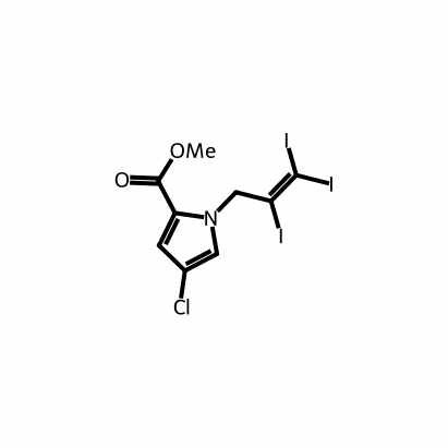 COC(=O)c1cc(Cl)cn1CC(I)=C(I)I